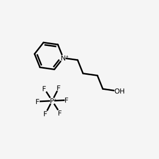 F[P-](F)(F)(F)(F)F.OCCCC[n+]1ccccc1